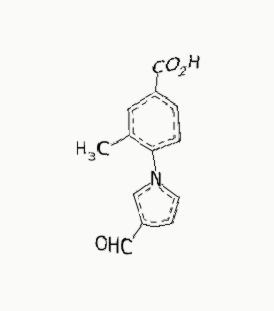 Cc1cc(C(=O)O)ccc1-n1ccc(C=O)c1